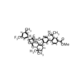 C=C(C)c1cc(C(=O)OC)ccc1-c1cnc(OC)c(C2=C(CN3C(=O)O[C@H](c4cc(C)cc(C(F)(F)F)c4)[C@@H]3C)CC(C)(C)CC2)c1